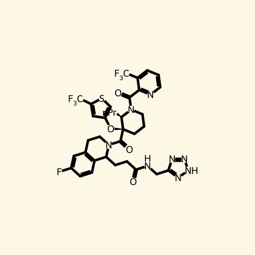 CCC[C@H]1N(C(=O)c2ncccc2C(F)(F)F)CCC[C@]1(Oc1csc(C(F)(F)F)c1)C(=O)N1CCc2cc(F)ccc2C1CCC(=O)NCc1nn[nH]n1